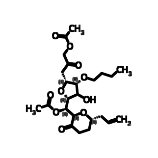 C=CC[C@@H]1CCC(=O)[C@@H]([C@@H](OC(C)=O)[C@@H]2O[C@H](CC(=O)COC(C)=O)[C@H](OCCCC)C2O)O1